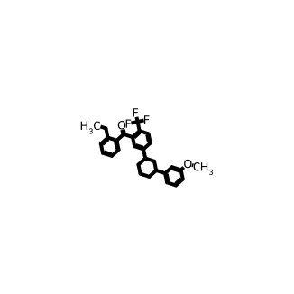 CCc1ccccc1C(=O)c1cc(C2CCCC(c3cccc(OC)c3)C2)ccc1C(F)(F)F